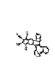 N#Cc1c(C#N)c(C#N)c2cc3c(cc2c1C#N)c1c2ccccc2c2ccccc2c1c1cc2ccccc2n31